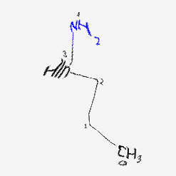 CC[CH2][InH][NH2]